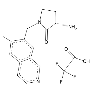 Cc1cc2ccncc2cc1CN1CC[C@H](N)C1=O.O=C(O)C(F)(F)F